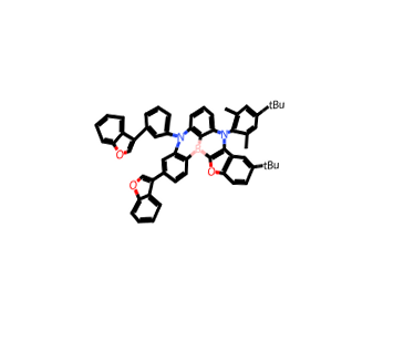 Cc1cc(C(C)(C)C)cc(C)c1N1c2cccc3c2B(c2ccc(-c4coc5ccccc45)cc2N3c2cccc(-c3coc4ccccc34)c2)c2oc3ccc(C(C)(C)C)cc3c21